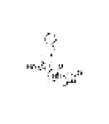 CC(C)CC(C(=O)NN1CC(=O)NC1=O)[C@@H](CCCC1CCCCC1)C(=O)NO